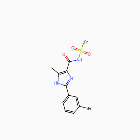 Cc1[nH]c(-c2cccc(C(C)C)c2)nc1C(=O)NS(=O)(=O)C(C)C